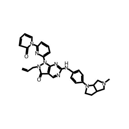 C=CCn1c(=O)c2cnc(Nc3ccc(N4CCC5CN(C)CC54)cc3)nc2n1-c1cccc(-n2ccccc2=O)n1